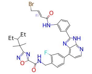 CCC(CC)C(C)(C)c1noc(C(=O)NCc2ccc(-c3ccnc4[nH]c(-c5cccc(NC(=O)/C=C/CBr)c5)nc34)cc2F)n1